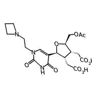 CC(=O)OC[C@@H]1O[C@H](c2cn(CCN3CCC3)c(=O)[nH]c2=O)[C@@H](CC(=O)O)[C@H]1CC(=O)O